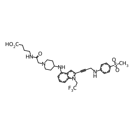 CS(=O)(=O)c1ccc(NCC#Cc2cc3c(NC4CCN(CC(=O)NCCCC(=O)O)CC4)cccc3n2CC(F)(F)F)cc1